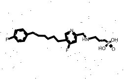 O=P(O)(O)CCCNCc1cc(F)c(CCCCCCc2ccc(F)cc2)cn1